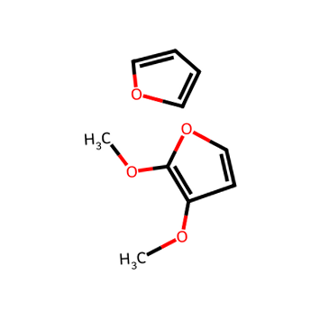 COc1ccoc1OC.c1ccoc1